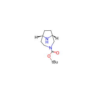 CC(C)(C)OC(=O)N1CC[C@@H]2CC[C@H](C1)N2